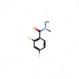 CCCN(C)C(=O)c1ccc(F)cc1F